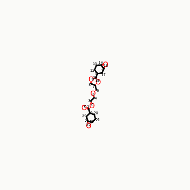 O=C(OCCOCC1COC(C2CCC3OC3C2)O1)C1CCC2OC2C1